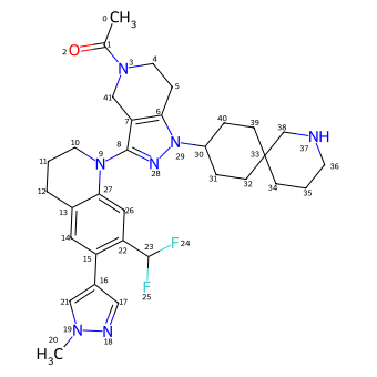 CC(=O)N1CCc2c(c(N3CCCc4cc(-c5cnn(C)c5)c(C(F)F)cc43)nn2C2CCC3(CCCNC3)CC2)C1